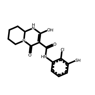 O=C(Nc1cccc(S)c1Cl)C1=C(O)NC2CCCCN2C1=O